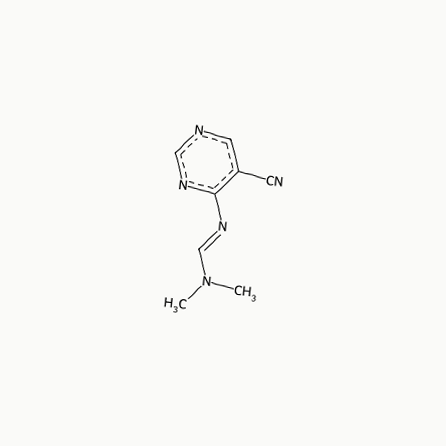 CN(C)/C=N/c1ncncc1C#N